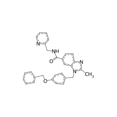 Cc1nc2ccc(C(=O)NCc3ccccn3)cc2n1Cc1ccc(OCc2ccccc2)cc1